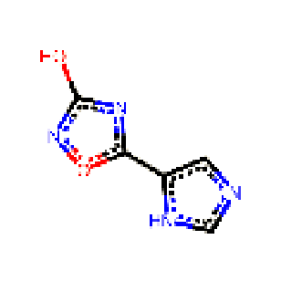 Oc1noc(-c2cnc[nH]2)n1